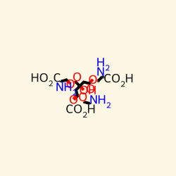 NC(COC(=O)CC(O)(CC(=O)OCC(N)C(=O)O)C(=O)OCC(N)C(=O)O)C(=O)O